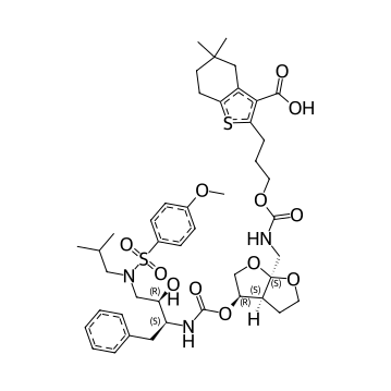 COc1ccc(S(=O)(=O)N(CC(C)C)C[C@@H](O)[C@H](Cc2ccccc2)NC(=O)O[C@H]2CO[C@@]3(CNC(=O)OCCCc4sc5c(c4C(=O)O)CC(C)(C)CC5)OCC[C@@H]23)cc1